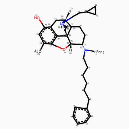 CCCCCN(CCCCCCc1ccccc1)[C@H]1CC[C@H]2[C@H]3Cc4c(O)cc(OC(C)=O)c5c4[C@@]2(CCN3CC2CC2)[C@H]1O5